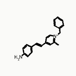 Cc1cc(/C=C/c2ccc(N)cc2)cc[n+]1Cc1ccccc1